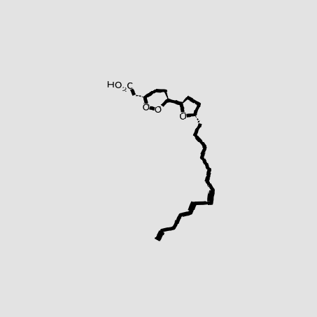 C=CCC/C=C/C=C\CCCCCC[C@H]1CC[C@H]([C@@H]2CC[C@@H](CC(=O)O)OO2)O1